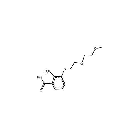 COCCOCCOc1cccc(C(=O)O)c1N